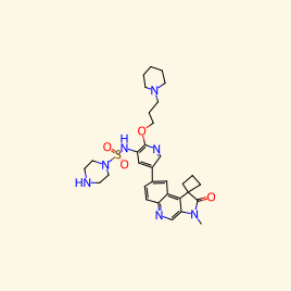 CN1C(=O)C2(CCC2)c2c1cnc1ccc(-c3cnc(OCCCN4CCCCC4)c(NS(=O)(=O)N4CCNCC4)c3)cc21